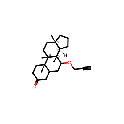 C#CCOC1CC2CC(=O)CC[C@]2(C)[C@@H]2CC[C@]3(C)CCC[C@H]3[C@H]12